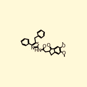 COc1cc2c(cc1OC)C(=O)C(CC(=O)Nc1nc(-c3ccccc3)c(Cc3ccccc3)s1)C2